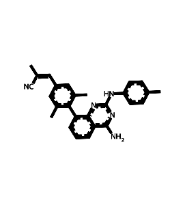 C/C(C#N)=C/c1cc(C)c(-c2cccc3c(N)nc(Nc4ccc(C)cc4)nc23)c(C)c1